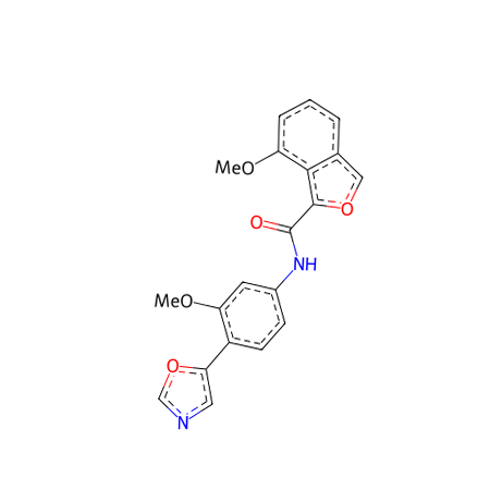 COc1cc(NC(=O)c2occ3cccc(OC)c23)ccc1-c1cnco1